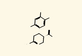 COC(=O)[C@H]1CN=C(OC)C[C@@H]1c1cc(F)c(F)cc1F